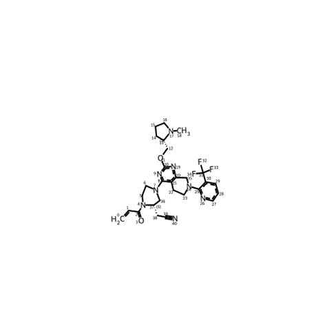 C=CC(=O)N1CCN(c2nc(OC[C@@H]3CCCN3C)nc3c2CCN(c2ncccc2C(F)(F)F)C3)C[C@@H]1CC#N